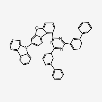 C1=CC(c2nc(C3=CCCC(c4ccccc4)=C3)nc(-c3cccc4oc5cc(-n6c7ccccc7c7ccccc76)ccc5c34)n2)CC(c2ccccc2)=C1